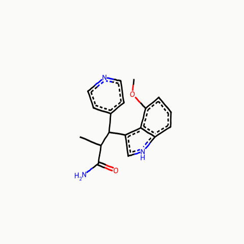 COc1cccc2[nH]cc(C(c3ccncc3)C(C)C(N)=O)c12